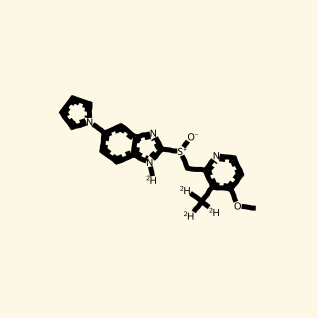 [2H]n1c([S+]([O-])Cc2nccc(OC)c2C([2H])([2H])[2H])nc2cc(-n3cccc3)ccc21